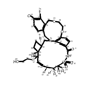 C[C@@H]1[C@@H](C)S(=O)(=O)NC(=O)c2ccc3c(c2)N(Cc2ccc(Cl)c(F)c2CCCCO3)C[C@@H]2CC[C@H]2[C@@H](OCCO)C2=C[C@H]1C2